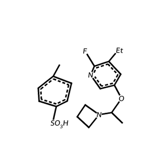 CCc1cc(OC(C)N2CCC2)cnc1F.Cc1ccc(S(=O)(=O)O)cc1